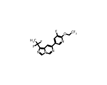 CC(F)(F)c1ncn2cnc(-c3cnc(OCC(F)(F)F)c(F)c3)cc12